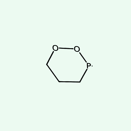 C1COO[P]C1